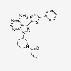 C=CC(=O)N1CCCC(n2nc(-c3ccc(-c4ccccc4)s3)c3c(N)ncnc32)C1